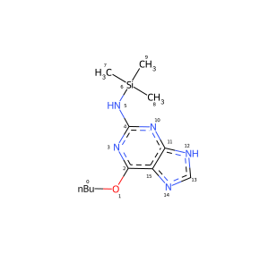 CCCCOc1nc(N[Si](C)(C)C)nc2[nH]cnc12